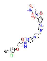 N#Cc1ccc(O[C@@H]2CC[C@@H](C(=O)Nc3ccc(N4CCC(CN5CCN(c6ccc7c(c6)C(=O)N(C6CCC(=O)NC6=O)C7=O)CC5)CC4)cn3)C2)cc1Cl